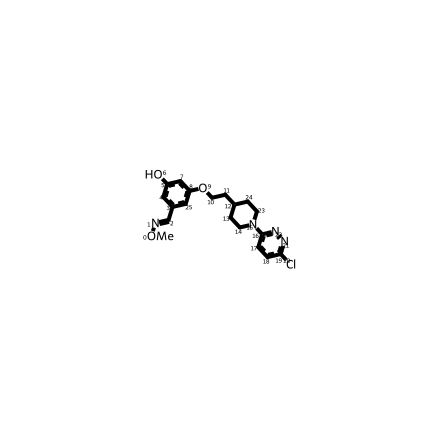 CON=Cc1cc(O)cc(OCCC2CCN(c3ccc(Cl)nn3)CC2)c1